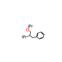 CC(C)OCC(Cc1ccccc1)C(C)C